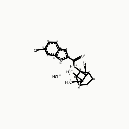 CC1(C)[C@H](NC(=O)c2cc3ccc(Cl)cc3s2)C2CCN1CC2.Cl